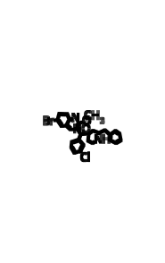 COc1nc2ccc(Br)cc2cc1C(c1cccc(Cl)c1)C1(O)CCNC(Cc2ccccc2)C1